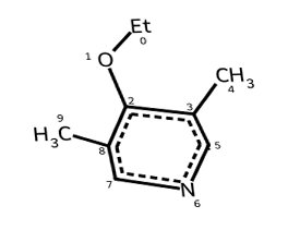 CCOc1c(C)[c]ncc1C